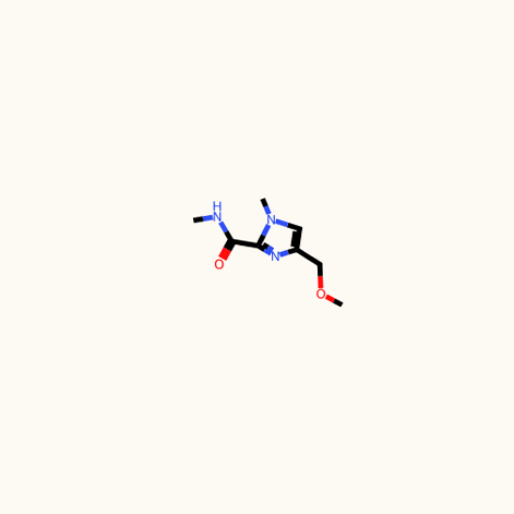 CNC(=O)c1nc(COC)cn1C